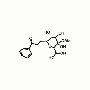 CO[C@@]1(O)[C@@H](C(O)O)O[C@@H](CCC(=O)c2ccccc2)[C@H](O)[C@H]1O